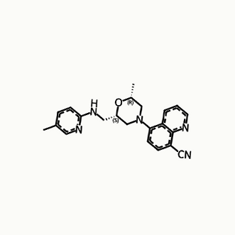 Cc1ccc(NC[C@H]2CN(c3ccc(C#N)c4ncccc34)C[C@@H](C)O2)nc1